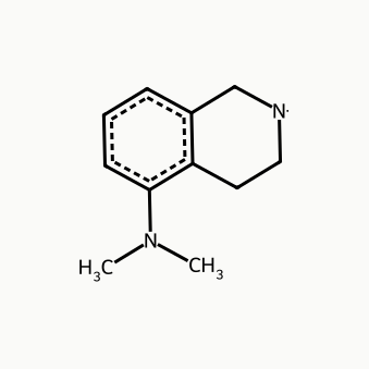 CN(C)c1cccc2c1CC[N]C2